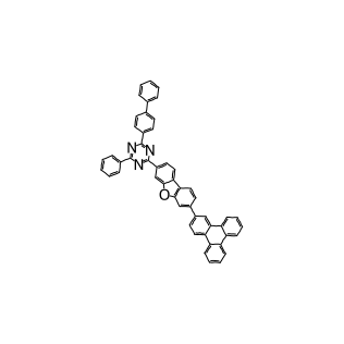 c1ccc(-c2ccc(-c3nc(-c4ccccc4)nc(-c4ccc5c(c4)oc4cc(-c6ccc7c8ccccc8c8ccccc8c7c6)ccc45)n3)cc2)cc1